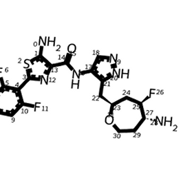 Nc1sc(-c2c(F)cccc2F)nc1C(=O)Nc1cn[nH]c1C[C@H]1C[C@@H](F)[C@H](N)CCO1